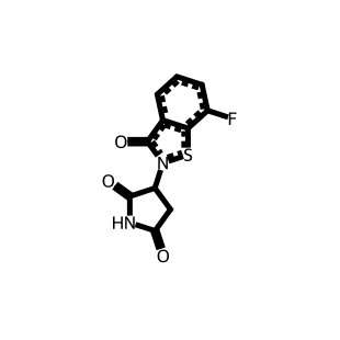 O=C1CC(n2sc3c(F)cccc3c2=O)C(=O)N1